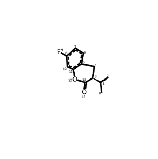 CC(C)[C@@H]1Cc2ccc(F)cc2OC1=O